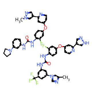 Cc1cn(-c2cc(NC(=O)Nc3ccc(Oc4ccnc(-c5cn[nH]c5)c4)cc3F)cc(C(F)(F)F)c2)cn1.Cn1cc(-c2cc(Oc3ccc(NC(=O)Nc4cccc(N5CCCC5)c4)c(F)c3)ccn2)cn1